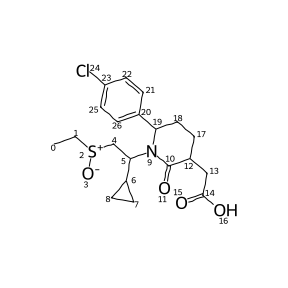 CC[S+]([O-])CC(C1CC1)N1C(=O)C(CC(=O)O)CCC1c1ccc(Cl)cc1